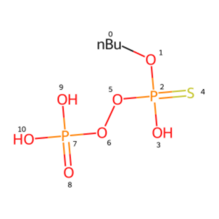 CCCCOP(O)(=S)OOP(=O)(O)O